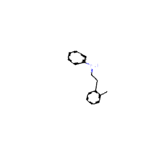 Cc1ccccc1CCNc1cc[c]cc1